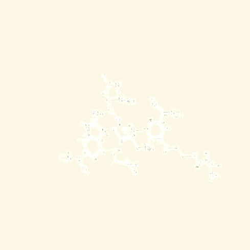 CCn1nc(C)cc1C(=O)Nc1nc2cc(C(N)=O)cc(OCC3CC3)c2n1CC=CCNc1c(OCCCO[Si](C)(C)C(C)(C)C)cc(C(N)=O)cc1[N+](=O)[O-]